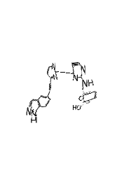 OC[C@H]1CC[C@@H](CNc2nccc(-c3nccc(C#Cc4ccc5[nH]ncc5c4)n3)n2)O1